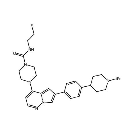 CC(C)N1CCC(c2ccc(-c3cc4c(N5CCN(C(=O)NCCF)CC5)ccnn4c3)cc2)CC1